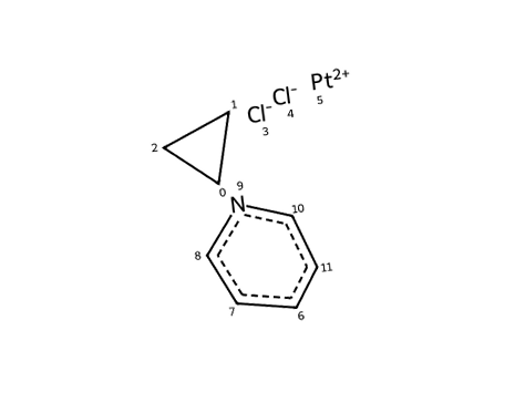 C1CC1.[Cl-].[Cl-].[Pt+2].c1ccncc1